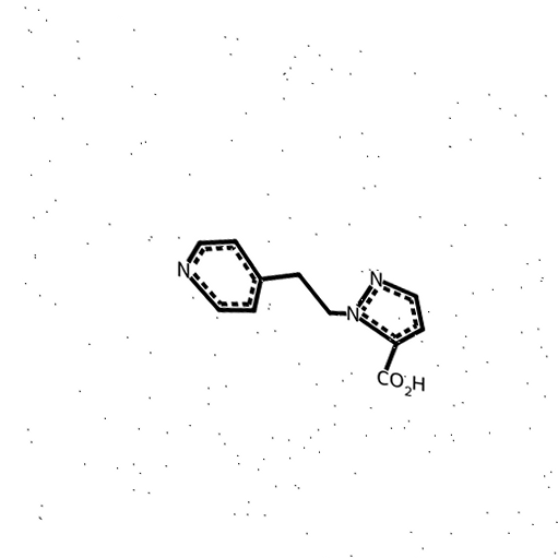 O=C(O)c1ccnn1CCc1ccncc1